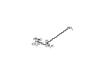 CCCCC(=O)NC(CSSCC(NC(=O)CCCCCCCCCCCCCCCCCCN)C(=O)O)C(=O)O